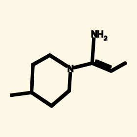 C/C=C(\N)N1CCC(C)CC1